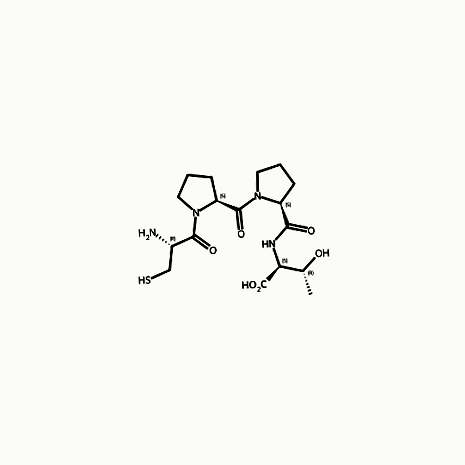 C[C@@H](O)[C@H](NC(=O)[C@@H]1CCCN1C(=O)[C@@H]1CCCN1C(=O)[C@@H](N)CS)C(=O)O